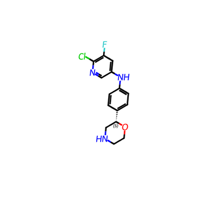 Fc1cc(Nc2ccc([C@H]3CNCCO3)cc2)cnc1Cl